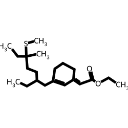 CCOC(=O)/C=C1/C=C(CC(CC)CCC(C)(CC)SC)CCC1